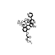 COC(=O)COc1ccc(F)c(C(c2c[nH]c3ncc(-c4cccnc4)cc23)[Si](C(C)C)(C(C)C)C(C)C)c1F